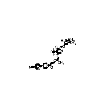 CC(COc1cnn(COCC[Si](C)(C)C)c(=O)c1C(F)(F)F)OCCC(=O)N1CCN(c2ccc(C#N)cn2)CC1